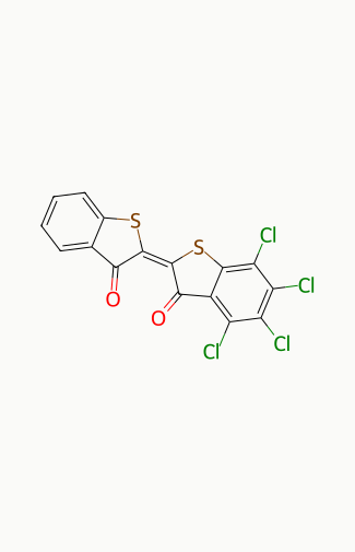 O=C1C(=C2Sc3c(Cl)c(Cl)c(Cl)c(Cl)c3C2=O)Sc2ccccc21